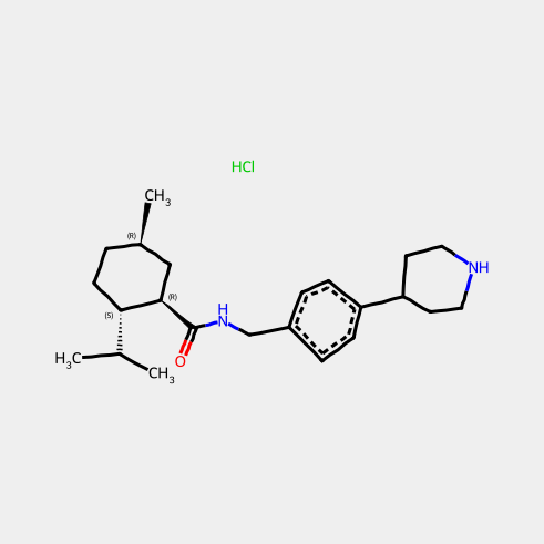 CC(C)[C@@H]1CC[C@@H](C)C[C@H]1C(=O)NCc1ccc(C2CCNCC2)cc1.Cl